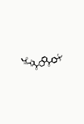 C=CC(=O)Nc1nc(C(=O)N2CCc3c(cccc3C(=O)c3ccc(C(F)(F)F)cc3)C2)cs1